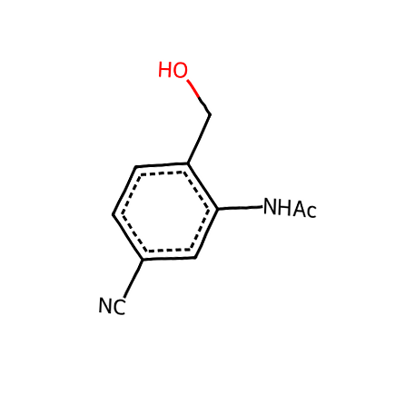 CC(=O)Nc1cc(C#N)ccc1CO